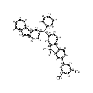 CC1(C)c2cc(-c3cc(Cl)cc(Cl)c3)ccc2-c2ccc(N(c3ccccc3)c3ccc4sc5ccccc5c4c3)cc21